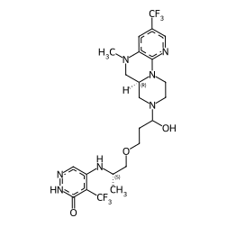 C[C@@H](COCCC(O)N1CCN2c3ncc(C(F)(F)F)cc3N(C)C[C@@H]2C1)Nc1cn[nH]c(=O)c1C(F)(F)F